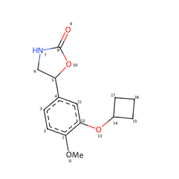 COc1ccc(C2CNC(=O)O2)cc1OC1CCC1